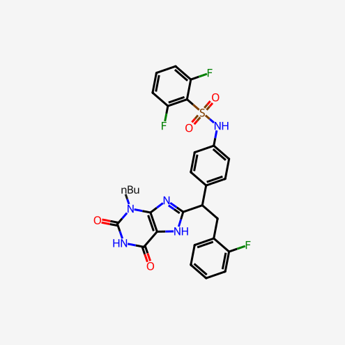 CCCCn1c(=O)[nH]c(=O)c2[nH]c(C(Cc3ccccc3F)c3ccc(NS(=O)(=O)c4c(F)cccc4F)cc3)nc21